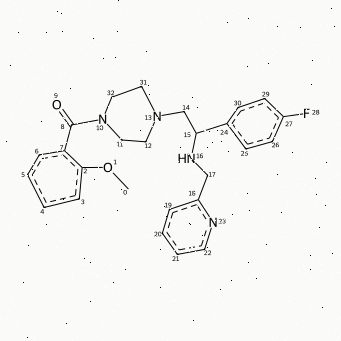 COc1ccccc1C(=O)N1CCN(CC(NCc2ccccn2)c2ccc(F)cc2)CC1